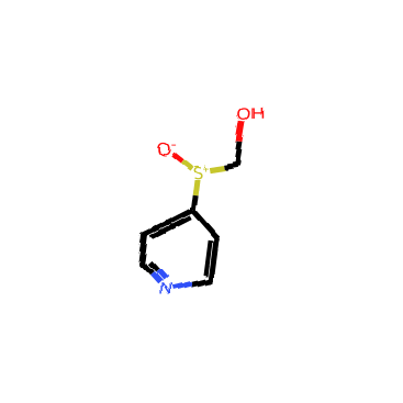 [O-][S+](CO)c1ccncc1